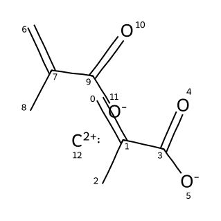 C=C(C)C(=O)[O-].C=C(C)C(=O)[O-].[C+2]